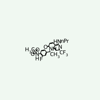 CCCNc1nc(C(F)(F)F)ccc1/C=C\C(=O)N[C@H](C)c1ccc(NS(C)(=O)=O)c(F)c1